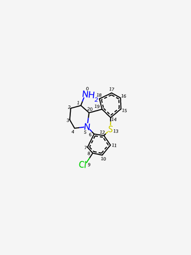 NC1CCCN2c3cc(Cl)ccc3Sc3ccccc3C12